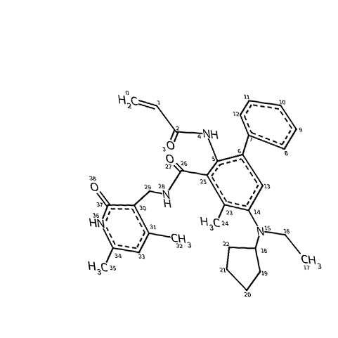 C=CC(=O)Nc1c(-c2ccccc2)cc(N(CC)C2CCCC2)c(C)c1C(=O)NCc1c(C)cc(C)[nH]c1=O